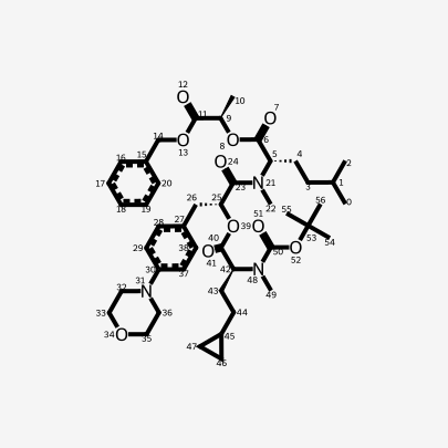 CC(C)CC[C@@H](C(=O)O[C@H](C)C(=O)OCc1ccccc1)N(C)C(=O)[C@@H](Cc1ccc(N2CCOCC2)cc1)OC(=O)[C@H](CCC1CC1)N(C)C(=O)OC(C)(C)C